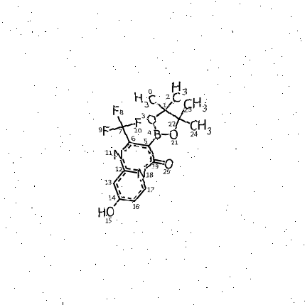 CC1(C)OB(c2c(C(F)(F)F)nc3cc(O)ccn3c2=O)OC1(C)C